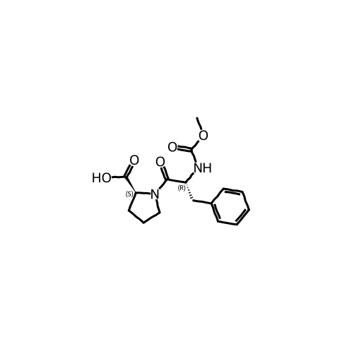 COC(=O)N[C@H](Cc1ccccc1)C(=O)N1CCC[C@H]1C(=O)O